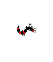 CCCOc1ccc(CN2CCN(C(=O)c3cc4ccc(Oc5ccc(NS(=O)(=O)c6ccc(Cl)c(Cl)c6)cn5)cc4n3C)CC2)cc1